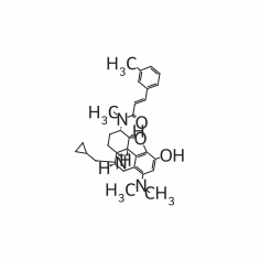 Cc1cccc(C=CC(=O)N(C)[C@H]2CC[C@H]3[C@H]4Cc5c(N(C)C)cc(O)c6c5[C@@]3(CCN4CC3CC3)[C@H]2O6)c1